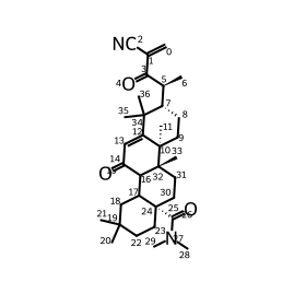 C=C(C#N)C(=O)[C@@H](C)[C@@H]1CC[C@]2(C)C(=CC(=O)C3C4CC(C)(C)CC[C@]4(C(=O)N(C)C)CC[C@]32C)C1(C)C